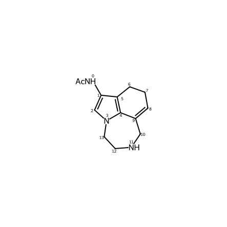 CC(=O)Nc1cn2c3c1CCC=C3CNCC2